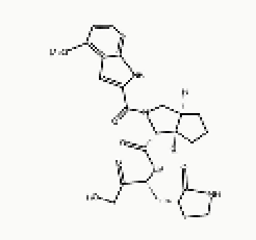 COc1cccc2[nH]c(C(=O)N3C[C@H]4CCC[C@H]4[C@@H]3C(=O)N[C@H](C[C@H]3CCNC3=O)C(=O)CO)cc12